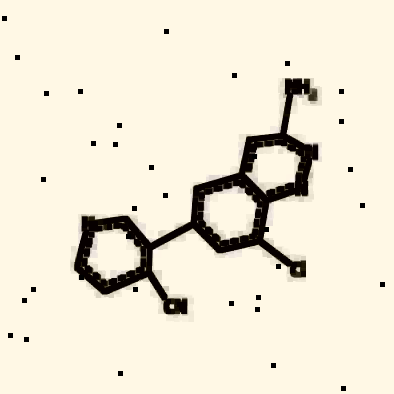 N#Cc1ccncc1-c1cc(Cl)c2nnc(N)cc2c1